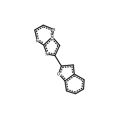 c1ccc2oc(-c3cn4nccnc4n3)cc2c1